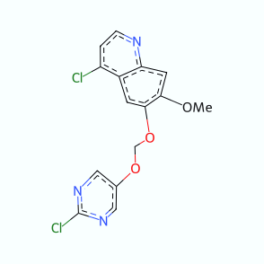 COc1cc2nccc(Cl)c2cc1OCOc1cnc(Cl)nc1